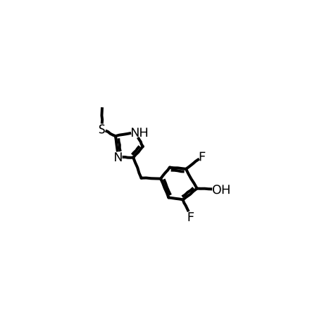 CSc1nc(Cc2cc(F)c(O)c(F)c2)c[nH]1